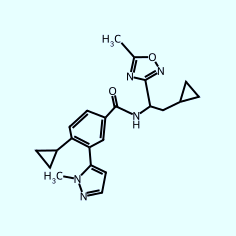 Cc1nc(C(CC2CC2)NC(=O)c2ccc(C3CC3)c(-c3ccnn3C)c2)no1